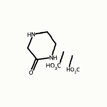 CC(=O)O.CC(=O)O.O=C1CNCCN1